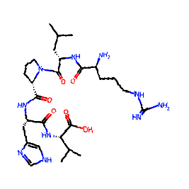 CC(C)C[C@H](NC(=O)[C@@H](N)CCCNC(=N)N)C(=O)N1CCC[C@H]1C(=O)N[C@@H](Cc1c[nH]cn1)C(=O)N[C@H](C(=O)O)C(C)C